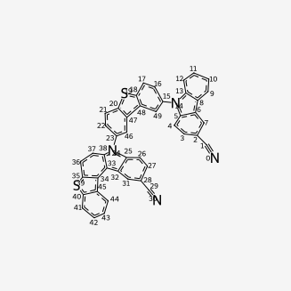 N#Cc1ccc2c(c1)c1ccccc1n2-c1ccc2sc3ccc(-n4c5ccc(C#N)cc5c5c6c(ccc54)sc4ccccc46)cc3c2c1